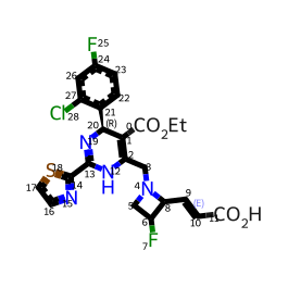 CCOC(=O)C1=C(CN2CC(F)C2/C=C/C(=O)O)NC(c2nccs2)=N[C@H]1c1ccc(F)cc1Cl